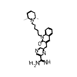 C[C@@H]1CCC[C@H](C)N1CCCCCn1c(=O)c(Cc2cncc(C(=N)N)n2)cc2ccccc21